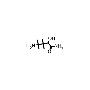 CC(C)(N)C(C)(C)C(O)C(N)=O